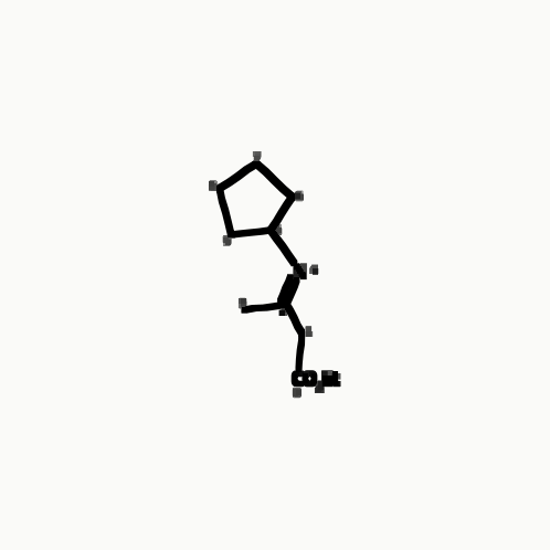 CCOC(=O)C/C(C)=N/C1CCCC1